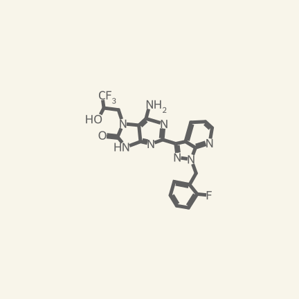 Nc1nc(-c2nn(Cc3ccccc3F)c3ncccc23)nc2[nH]c(=O)n(CC(O)C(F)(F)F)c12